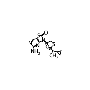 CC(C1CC1)[C@H]1O[C@@H](n2c(=O)sc3cnc(N)nc32)CS1